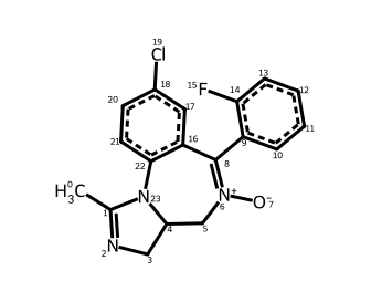 CC1=NCC2C[N+]([O-])=C(c3ccccc3F)c3cc(Cl)ccc3N12